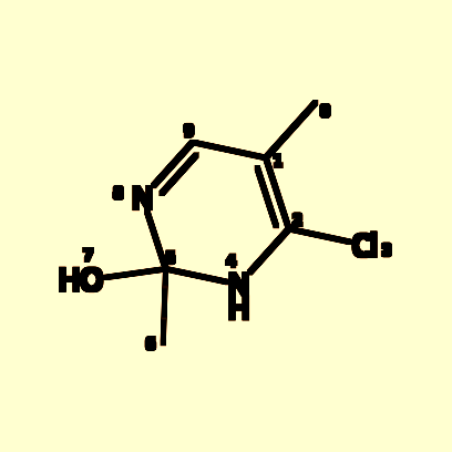 CC1=C(Cl)NC(C)(O)N=C1